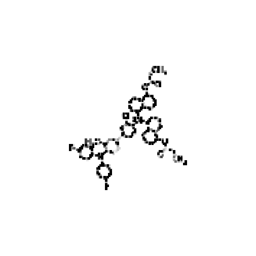 C=CC(=O)Oc1cccc2c(N(c3ccc(-c4ccc(N(c5ccc(F)cc5)c5ccc(F)cc5)c(C)c4)cc3C)c3cccc4c(OC(=O)C=C)cccc34)cccc12